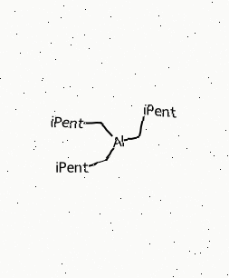 CCCC(C)[CH2][Al]([CH2]C(C)CCC)[CH2]C(C)CCC